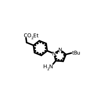 CCOC(=O)Cc1ccc(-n2nc(C(C)(C)C)cc2N)cc1